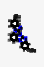 CC(C)(C)c1ccc2c(c1)nc1n2c2cccc3c2n1c1nc2cc(C(C)(C)C)ccc2n31